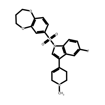 CN1CC=C(c2cn(S(=O)(=O)c3ccc4c(c3)OCCCO4)c3ccc(F)cc23)CC1